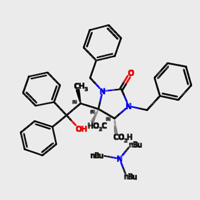 CCCCN(CCCC)CCCC.C[C@H](C(O)(c1ccccc1)c1ccccc1)[C@]1(C(=O)O)[C@@H](C(=O)O)N(Cc2ccccc2)C(=O)N1Cc1ccccc1